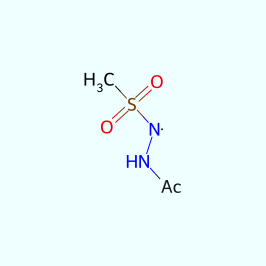 CC(=O)N[N]S(C)(=O)=O